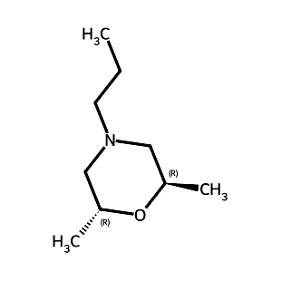 CCCN1C[C@@H](C)O[C@H](C)C1